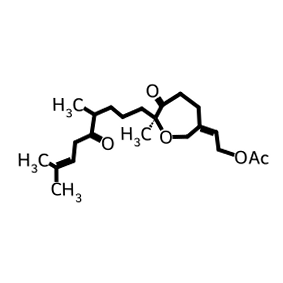 CC(=O)OCC=C1CCC(=O)[C@](C)(CCCC(C)C(=O)CC=C(C)C)OC1